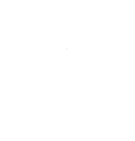 CCN(CC)CCOCCC[S]